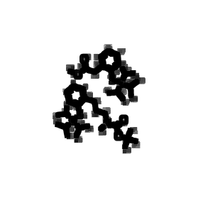 CC(C)[Si](Sc1ccccc1CCCN(C)C(=O)OC(C)(C)C)(C(C)C)C(C)C.COC(=O)Cc1ccccc1S[Si](C(C)C)(C(C)C)C(C)C